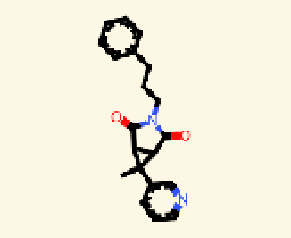 CC1(c2cccnc2)C2C(=O)N(CCCc3ccccc3)C(=O)C21